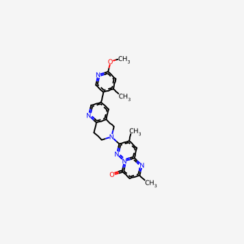 COc1cc(C)c(-c2cnc3c(c2)CN(c2nn4c(=O)cc(C)nc4cc2C)CC3)cn1